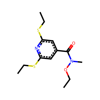 CCON(C)C(=O)c1cc(SCC)nc(SCC)c1